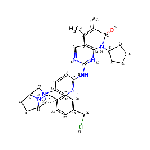 CC(=O)c1c(C)c2cnc(Nc3ccc(N4CC5CCC(C4)N5Cc4ccc(CCl)cc4)cn3)nc2n(C2CCCC2)c1=O